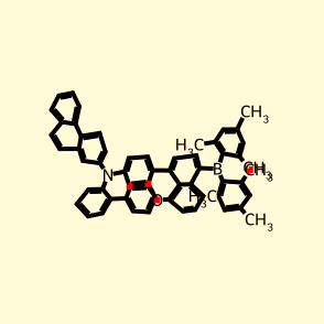 Cc1cc(C)c(B(c2c(C)cc(C)cc2C)c2ccc3c4c(cccc24)Oc2cc(N(c4ccc5c(ccc6ccccc65)c4)c4ccccc4-c4ccccc4)ccc2-3)c(C)c1